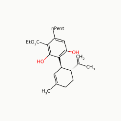 C=C(C)[C@@H]1CCC(C)=C[C@H]1c1c(O)cc(CCCCC)c(C(=O)OCC)c1O